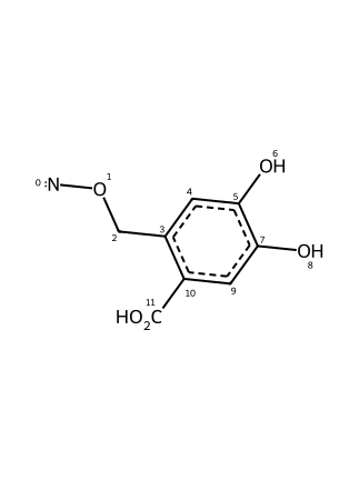 [N]OCc1cc(O)c(O)cc1C(=O)O